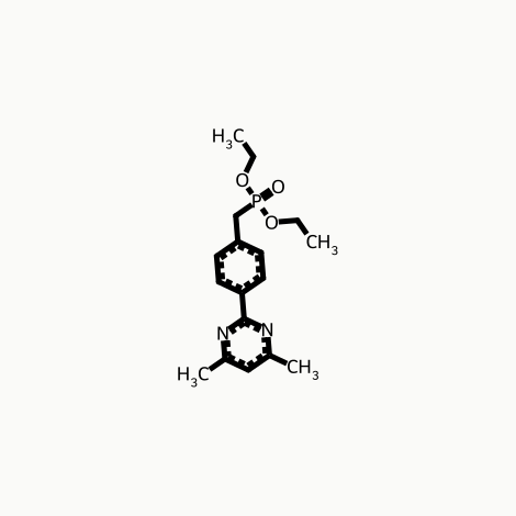 CCOP(=O)(Cc1ccc(-c2nc(C)cc(C)n2)cc1)OCC